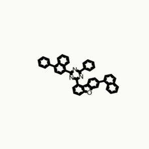 c1ccc(-c2nc(-c3ccc(-c4ccccc4)c4ccccc34)nc(-c3cccc4oc5cc(-c6cccc7ccccc67)ccc5c34)n2)cc1